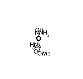 COC(=O)C[C@@H]1C[C@@H](c2ccc(C(N)=NO)cc2)NC1=O